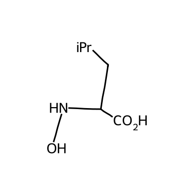 CC(C)CC(NO)C(=O)O